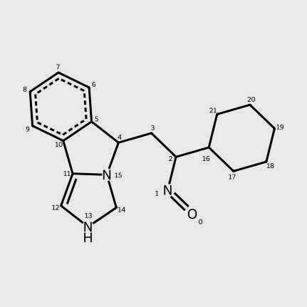 O=NC(CC1c2ccccc2C2=CNCN21)C1CCCCC1